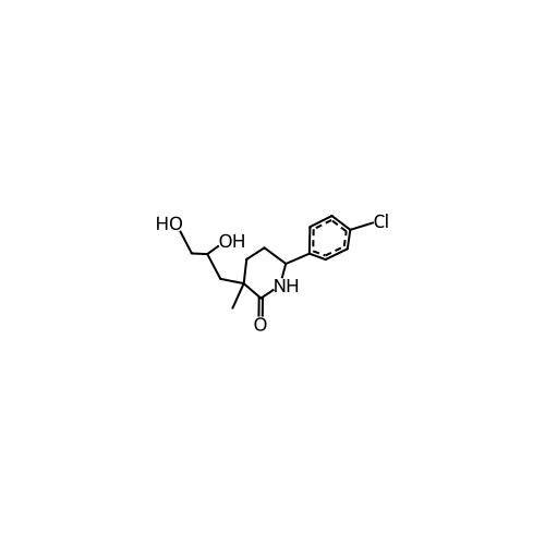 CC1(CC(O)CO)CCC(c2ccc(Cl)cc2)NC1=O